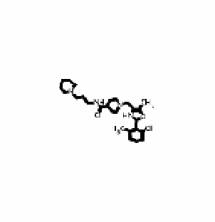 CC1=C(CN2CCC(C(=O)NCCCN3CCCCC3)CC2)NC(c2c(C)cccc2Cl)O1